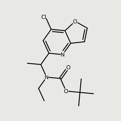 CCN(C(=O)OC(C)(C)C)C(C)c1cc(Cl)c2occc2n1